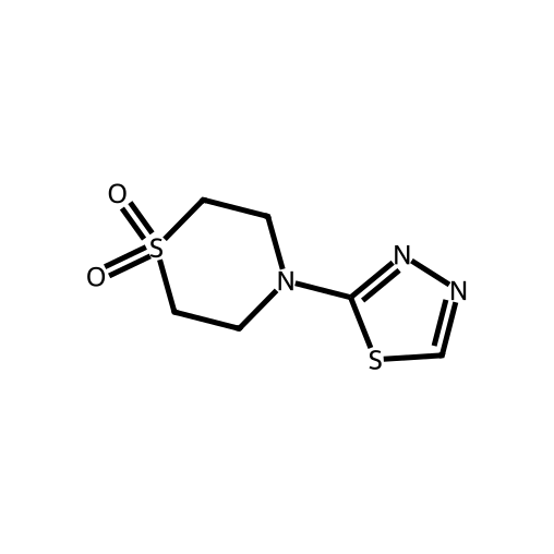 O=S1(=O)CCN(c2nncs2)CC1